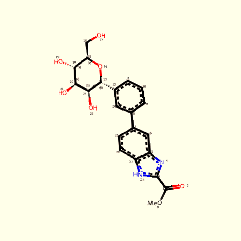 COC(=O)c1nc2cc(-c3cccc([C@H]4O[C@H](CO)[C@@H](O)[C@H](O)[C@@H]4O)c3)ccc2[nH]1